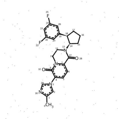 Cc1cn(-c2ccc3n(c2=O)CCN([C@@H]2CCC[C@@H]2c2cc(F)cc(F)c2)C3=O)cn1